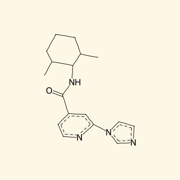 CC1CCCC(C)C1NC(=O)c1ccnc(-n2ccnc2)c1